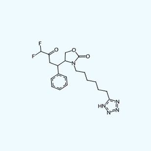 O=C(CC(c1ccccc1)C1COC(=O)N1CCCCCCc1nnn[nH]1)C(F)F